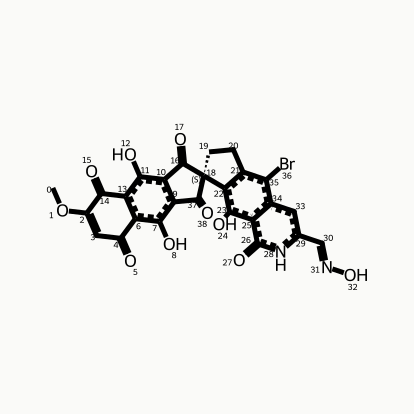 COC1=CC(=O)c2c(O)c3c(c(O)c2C1=O)C(=O)[C@]1(CCc2c1c(O)c1c(=O)[nH]c(C=NO)cc1c2Br)C3=O